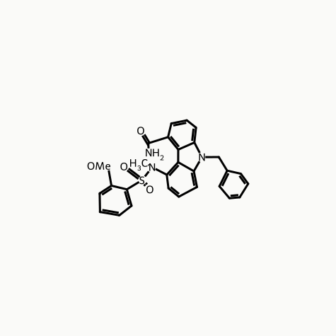 COc1ccccc1S(=O)(=O)N(C)c1cccc2c1c1c(C(N)=O)cccc1n2Cc1ccccc1